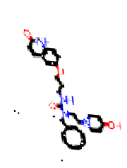 O=C(NCCCOc1ccc2[nH]c(=O)ccc2c1)N(CCN1CCC(O)CC1)CC1CCCCCCC1